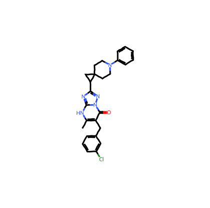 Cc1[nH]c2nc(C3CC34CCN(c3ccccc3)CC4)nn2c(=O)c1Cc1cccc(Cl)c1